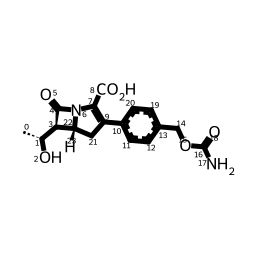 C[C@@H](O)[C@H]1C(=O)N2C(C(=O)O)=C(c3ccc(COC(N)=O)cc3)C[C@H]12